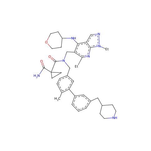 CCc1nc2c(cnn2CC)c(NC2CCOCC2)c1CN(Cc1ccc(C)c(-c2cccc(CC3CCNCC3)c2)c1)C(=O)C1(C(N)=O)CC1